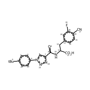 CC(C)(C)c1ccc(-n2cc(C(=O)NC(Cc3ccc(C#N)c(F)c3)C(=O)O)nn2)cc1